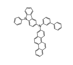 c1ccc(-c2cccc(N(c3ccc4c(ccc5c6ccccc6ccc45)c3)c3ccc4c(c3)c3ccccc3n4-c3ccccc3)c2)cc1